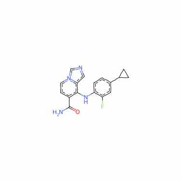 NC(=O)c1ccn2cncc2c1Nc1ccc(C2CC2)cc1F